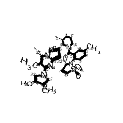 Cc1ccc(N2CCCS2(=O)=O)c(C(=O)N2CCCC[C@H]2c2cc3nc(N4C[C@@H](C)[C@@H](O)C4)c(C)cn3n2)c1